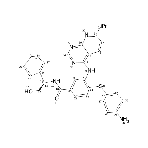 CC(C)c1ccc2c(Nc3cc(C(=O)N[C@@H](CO)c4ccccc4)ccc3Sc3ccc(N)cc3)ncnc2n1